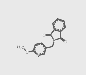 COc1ccc(CN2C(=O)c3ccccc3C2=O)cn1